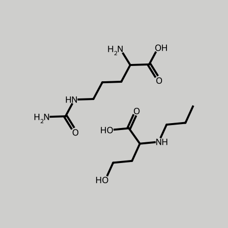 CCCNC(CCO)C(=O)O.NC(=O)NCCCC(N)C(=O)O